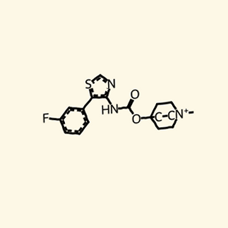 C[N+]12CCC(OC(=O)Nc3ncsc3-c3cccc(F)c3)(CC1)CC2